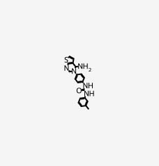 Cc1cccc(NC(=O)Nc2ccc(N3C=Nc4sccc4C3N)cc2)c1